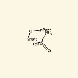 CCCCCOCCCCC.N[SH](=O)=O